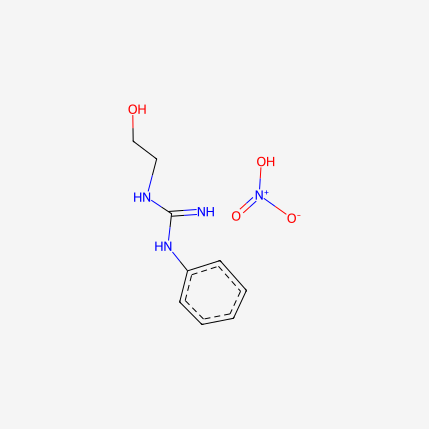 N=C(NCCO)Nc1ccccc1.O=[N+]([O-])O